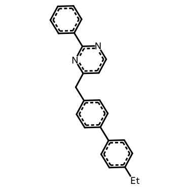 CCc1ccc(-c2ccc(Cc3ccnc(-c4ccccc4)n3)cc2)cc1